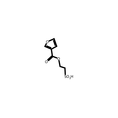 O=C(OCCS(=O)(=O)O)c1ccoc1